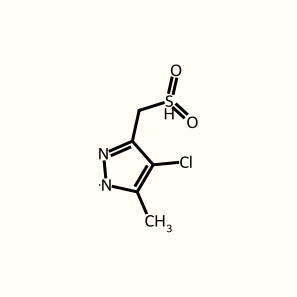 CC1=C(Cl)C(C[SH](=O)=O)=N[N]1